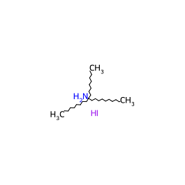 CCCCCCCCCCC(N)(CCCCCCCCC)CCCCCCCCC.I